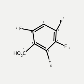 O=C(O)c1c(F)cc(F)c(F)c1F